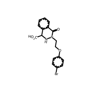 O=C(O)C1NN(CCOc2ccc(Br)cc2)C(=O)c2ccccc21